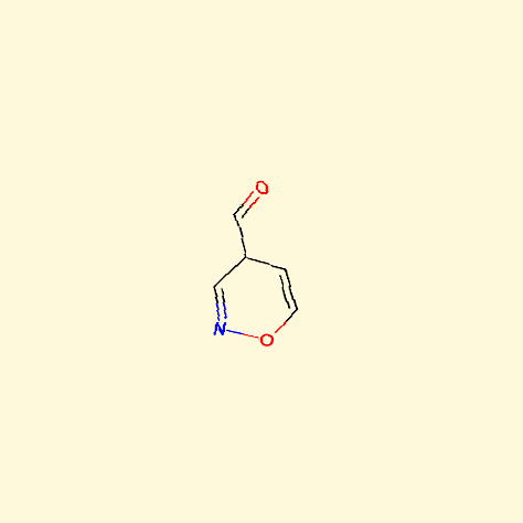 O=CC1C=CON=C1